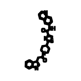 O=C(Nc1ccc2ncccc2c1)c1csc(C2CCN(C(=O)CC3C=Nc4ccccc43)CC2)n1